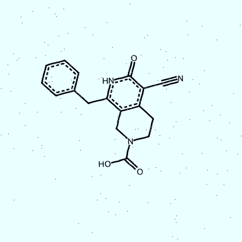 N#Cc1c2c(c(Cc3ccccc3)[nH]c1=O)CN(C(=O)O)CC2